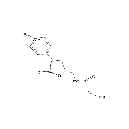 CC(C)(C)OC(=O)NC[C@H]1CN(c2ccc(C#N)cc2)C(=O)O1